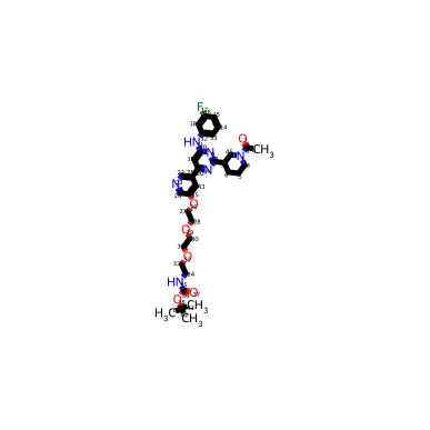 CC(=O)N1CCCC(c2nc(Nc3cccc(F)c3)cc(-c3cncc(OCCOCCOCCNC(=O)OC(C)(C)C)c3)n2)C1